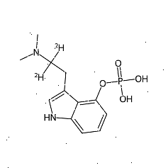 [2H]C([2H])(Cc1c[nH]c2cccc(OP(=O)(O)O)c12)N(C)C